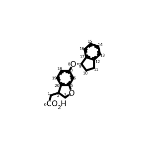 O=C(O)CC1COc2cc(O[C@H]3CCc4ccccc43)ccc21